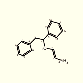 [SiH3]C=COC(Cc1ccccc1)c1ccccc1